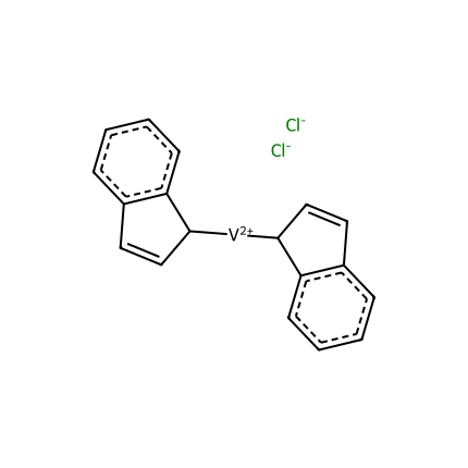 C1=C[CH]([V+2][CH]2C=Cc3ccccc32)c2ccccc21.[Cl-].[Cl-]